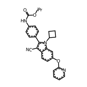 CC(C)OC(=O)Nc1ccc(-c2c(C#N)c3ccc(Oc4ccccn4)cc3n2C2CCC2)cc1